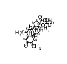 CC(=O)O[C@]1(C(C)=O)CC[C@H]2[C@@H]3C[C@H](C)C4=CC(=O)[C@H](C)C[C@@H]4[C@H]3CC[C@@]21C